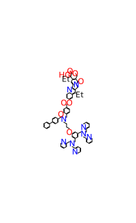 CCc1c2c(nc3ccc(OC(=O)c4ccc(CN(CCCCOc5cc(CN(Cc6ccccn6)Cc6ccccn6)cc(CN(Cc6ccccn6)Cc6ccccn6)c5)C(=O)c5ccc(-c6ccccc6)cc5)cc4)cc13)-c1cc3c(c(=O)n1C2)COC(=O)[C@]3(O)CC